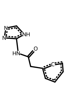 O=C(Cc1ccccc1)Nc1nnc[nH]1